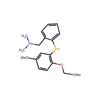 COCOc1ccc(OC)cc1Pc1ccccc1CN(C)C